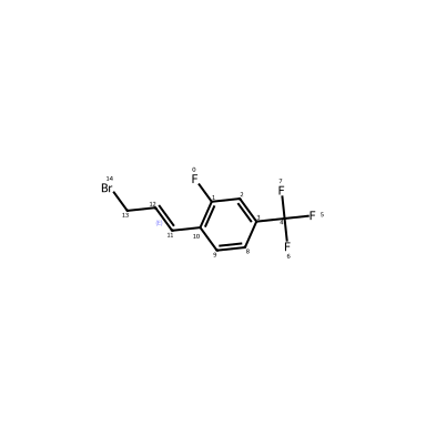 Fc1cc(C(F)(F)F)ccc1/C=C/CBr